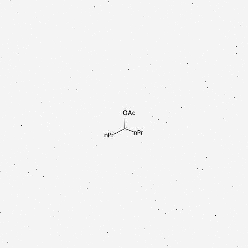 CCC[C](CCC)OC(C)=O